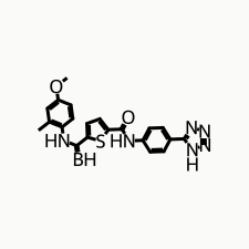 B=C(Nc1ccc(OC)cc1C)c1ccc(C(=O)Nc2ccc(-c3nnn[nH]3)cc2)s1